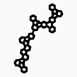 c1ccc2c(c1)c1cc3c4cccc5c6ccccc6n(c3cc1c1cc3c(cc21)c1cc(-c2ccc6c(c2)c2cccc7c8c9ccc%10c(ccc%11c%10c%10cccc%12c%13ccccc%13n%11c%12%10)c9ccc8n6c27)cc2c6ccccc6n3c21)c54